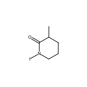 CC1CCCN(I)C1=O